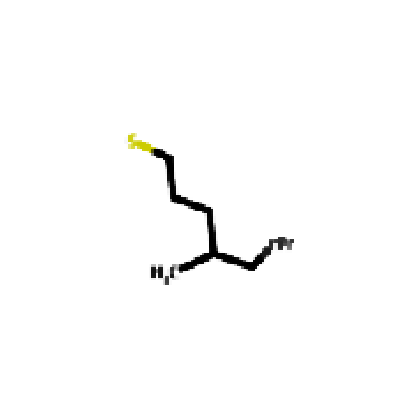 CCCCC(C)CCC[S]